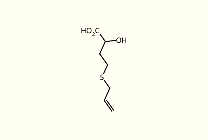 C=CCSCCC(O)C(=O)O